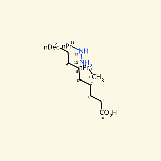 CCCC.CCCCCCCCCCCCCCCCCC(=O)O.CCCNN